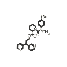 CN(C(=O)N1CCCC[C@H]1C(=O)OCCC(c1cccnc1)c1cccnc1)c1ccc(C(C)(C)C)cc1